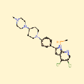 CPn1c(-c2ccc(N3CCC(N4CCN(C)CC4)CC3)cc2)cc2c(Cl)c(Cl)cnc21